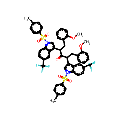 COc1ccccc1CC(C(=O)C(Cc1ccccc1OC)c1cn(S(=O)(=O)c2ccc(C)cc2)c2ccc(C(F)(F)F)cc12)c1cn(S(=O)(=O)c2ccc(C)cc2)c2ccc(C(F)(F)F)cc12